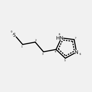 [S]CCCc1cnc[nH]1